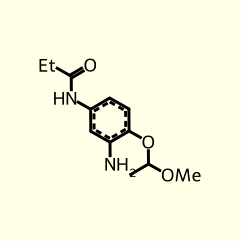 CCC(=O)Nc1ccc(OC(C)OC)c(N)c1